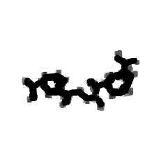 CC(=O)c1cccc(C(C)CCN(C)C(=O)c2cccc(C(C)C)c2)c1